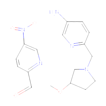 COC1CCN(Cc2ccc(N)cn2)C1.O=Cc1ccc([N+](=O)[O-])cn1